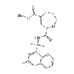 Cc1cc2ccccc2c(C(C)(C)NC(=O)C2CN(C(=O)OC(C)(C)C)CCCO2)n1